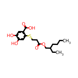 CCCCC(CC)COC(=O)CCSc1cc(O)c(O)cc1C(=O)O